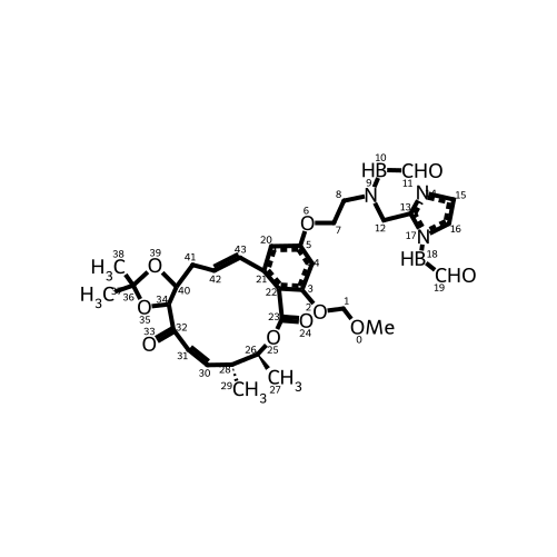 COCOc1cc(OCCN(BC=O)Cc2nccn2BC=O)cc2c1C(=O)O[C@@H](C)[C@H](C)/C=C\C(=O)C1OC(C)(C)OC1C/C=C/2